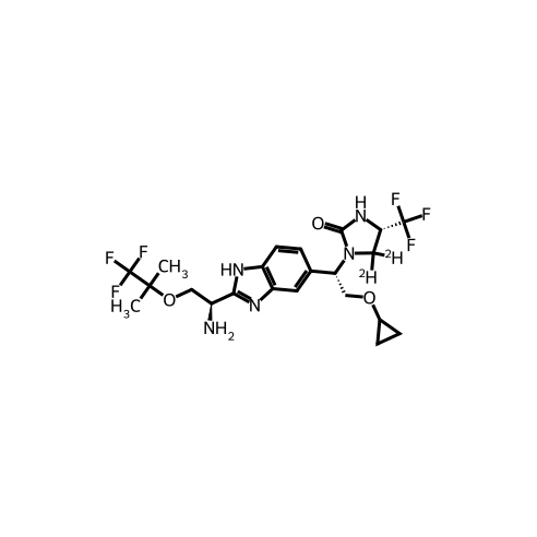 [2H]C1([2H])[C@@H](C(F)(F)F)NC(=O)N1[C@H](COC1CC1)c1ccc2[nH]c([C@@H](N)COC(C)(C)C(F)(F)F)nc2c1